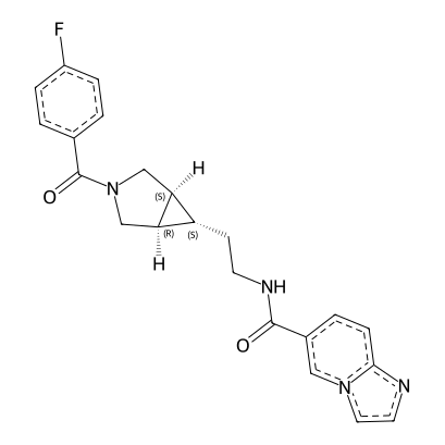 O=C(NCC[C@@H]1[C@H]2CN(C(=O)c3ccc(F)cc3)C[C@@H]12)c1ccc2nccn2c1